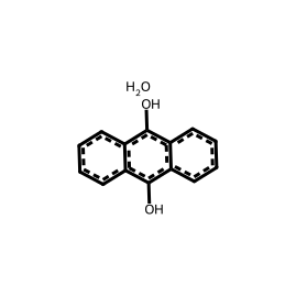 O.Oc1c2ccccc2c(O)c2ccccc12